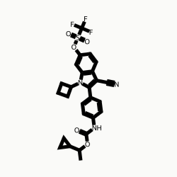 CC(OC(=O)Nc1ccc(-c2c(C#N)c3ccc(OS(=O)(=O)C(F)(F)F)cc3n2C2CCC2)cc1)C1CC1